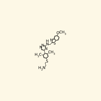 COc1ccc2sc(CNc3nncc(-c4c(C)cc(SCCN)cc4C)n3)nc2c1